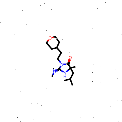 C/N=C1\NC(C)(CC(C)C)C(=O)N1CCC1CCOCC1